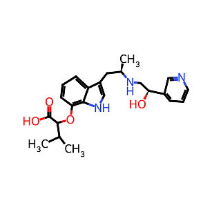 CC(C)C(Oc1cccc2c(C[C@@H](C)NC[C@H](O)c3cccnc3)c[nH]c12)C(=O)O